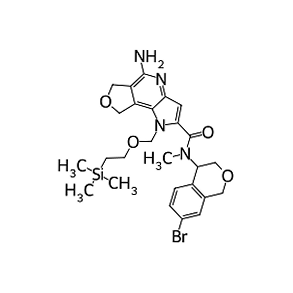 CN(C(=O)c1cc2nc(N)c3c(c2n1COCC[Si](C)(C)C)COC3)C1COCc2cc(Br)ccc21